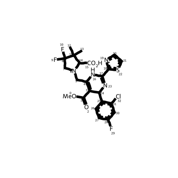 COC(=O)C1=C(CN2CC(F)(F)C(C)(C)C2C(=O)O)NC(c2nccs2)=NC1c1ccc(F)cc1Cl